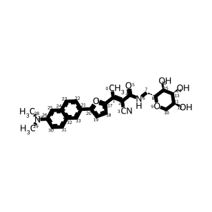 C/C(=C(/C#N)C(=O)NC[C@H]1OC[C@H](O)[C@@H](O)[C@@H]1O)c1ccc(-c2ccc3cc(N(C)C)ccc3c2)o1